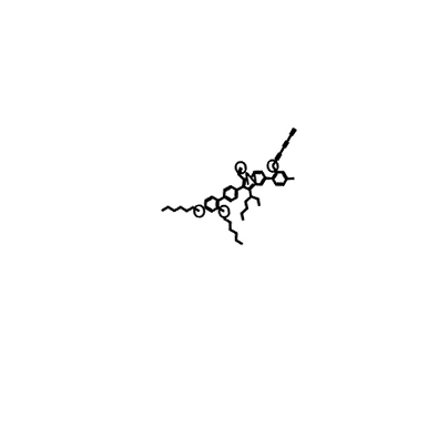 C#CC#CC#COc1cc(C)ccc1-c1ccn2c(C=O)c(-c3ccc(-c4ccc(OCCCCCC)cc4OCCCCCC)cc3)c(C(CC)CCCC)c2c1